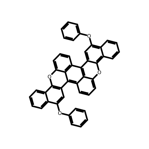 c1ccc(Oc2cc3c(oc4cccc5c4c3c3cccc4oc6c7ccccc7c(Oc7ccccc7)cc6c5c43)c3ccccc23)cc1